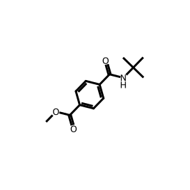 COC(=O)c1ccc(C(=O)NC(C)(C)C)cc1